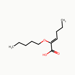 CCCC=C(OCCCCC)C(=O)O